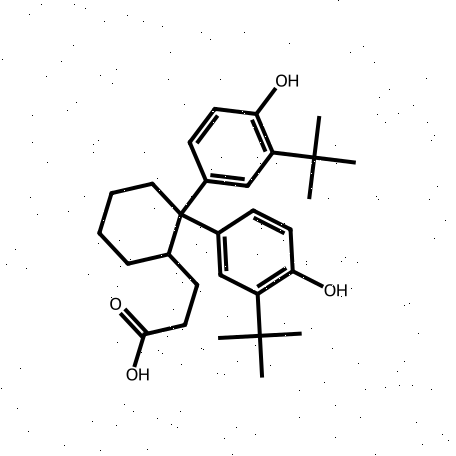 CC(C)(C)c1cc(C2(c3ccc(O)c(C(C)(C)C)c3)CCCCC2CCC(=O)O)ccc1O